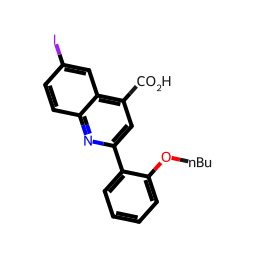 CCCCOc1ccccc1-c1cc(C(=O)O)c2cc(I)ccc2n1